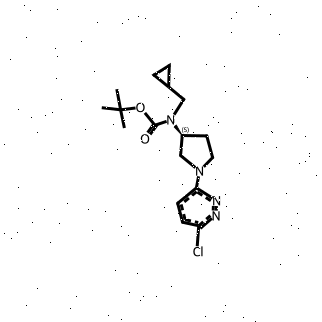 CC(C)(C)OC(=O)N(CC1CC1)[C@H]1CCN(c2ccc(Cl)nn2)C1